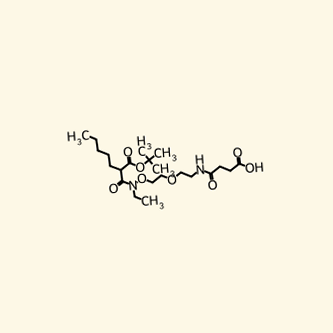 CCCCCC(C(=O)OC(C)(C)C)C(=O)N(CC)OCCOCCNC(=O)CCC(=O)O